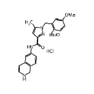 COc1ccc(OCC(C)C)c(Cn2nc(C(=O)Nc3ccc4c(c3)CCNC4)cc2C)c1.Cl